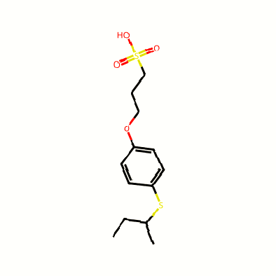 CCC(C)Sc1ccc(OCCCS(=O)(=O)O)cc1